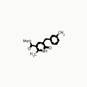 COC(=O)c1cc(Cc2cccc(C)c2)c(=O)[nH]c1C